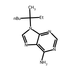 CCCCC(C)(CC)n1cnc2c(N)ncnc21